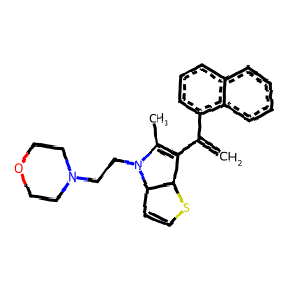 C=C(C1=C(C)N(CCN2CCOCC2)C2C=CSC12)c1cccc2ccccc12